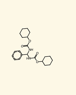 O=C(NC(NC(=O)OC1CCCCC1)c1ccccc1)OC1CCCCC1